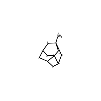 NC12CC3CC4CC(C1)C4(C3)C2